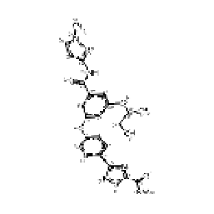 CNC(=O)c1nc(-c2ccc(Oc3cc(O[C@@H](C)CO)cc(C(=O)Nc4ccn(C)n4)c3)cn2)no1